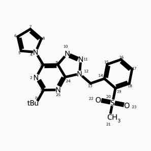 CC(C)(C)c1nc(-n2cccc2)c2nnn(Cc3ccccc3S(C)(=O)=O)c2n1